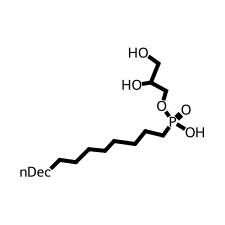 CCCCCCCCCCCCCCCCCCP(=O)(O)OCC(O)CO